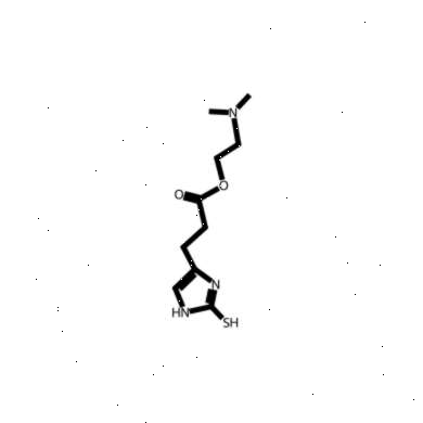 CN(C)CCOC(=O)CCc1c[nH]c(S)n1